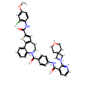 COc1ccc(NC(=O)c2cc3c(s2)-c2ccccc2N(C(=O)c2ccc(NC(=O)c4cccnc4N4CC5(CCOCC5)C4)cc2)CC3)c(F)c1